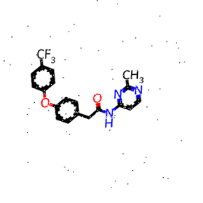 Cc1nccc(NC(=O)Cc2ccc(Oc3ccc(C(F)(F)F)cc3)cc2)n1